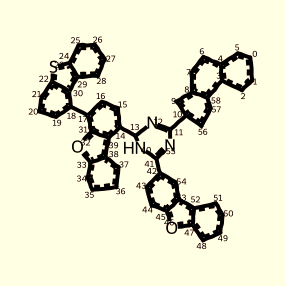 c1ccc2c(c1)ccc1cc(C3=NC(c4ccc(-c5cccc6sc7ccccc7c56)c5oc6ccccc6c45)NC(c4ccc5oc6ccccc6c5c4)=N3)ccc12